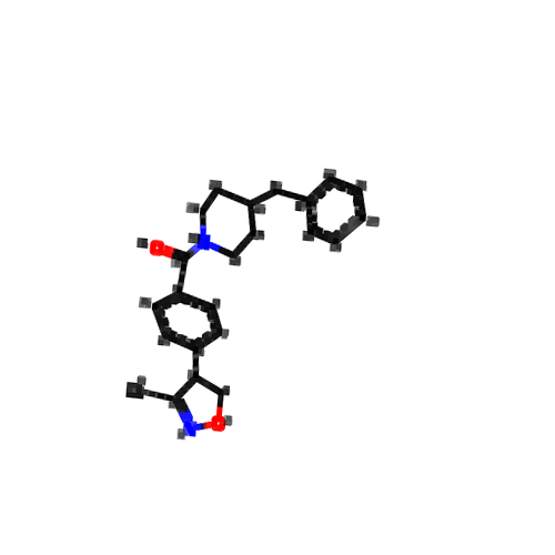 CCC1=NOCC1c1ccc(C(=O)N2CCC(Cc3ccccc3)CC2)cc1